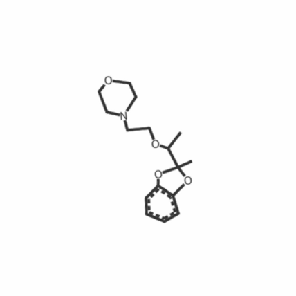 CC(OCCN1CCOCC1)C1(C)Oc2ccccc2O1